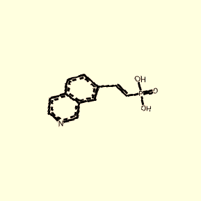 O=P(O)(O)C=Cc1ccc2ccncc2c1